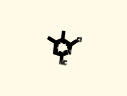 [C-]#[N+]c1cc(C)c(C)c(Cl)n1